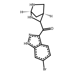 O=C(c1n[nH]c2cc(Br)ccc12)C1N[C@@H]2C[C@H]1CN2